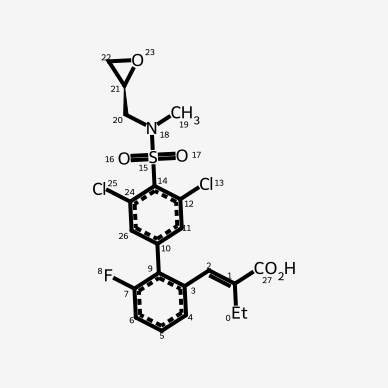 CCC(=Cc1cccc(F)c1-c1cc(Cl)c(S(=O)(=O)N(C)C[C@H]2CO2)c(Cl)c1)C(=O)O